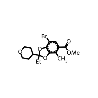 CCC1(C2CCOCC2)Oc2c(Br)cc(C(=O)OC)c(C)c2O1